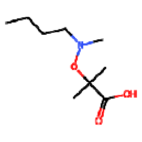 CCCCN(C)OC(C)(C)C(=O)O